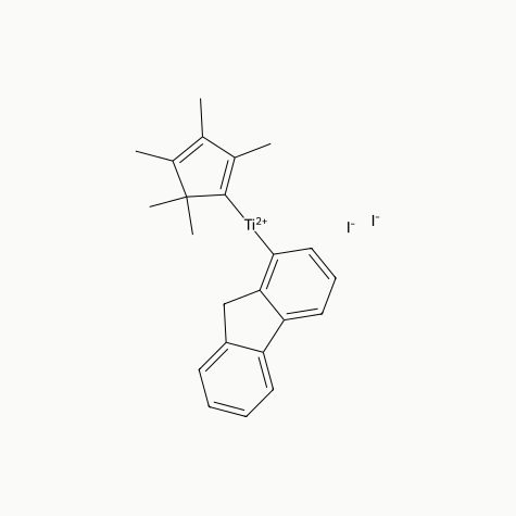 CC1=C(C)C(C)(C)[C]([Ti+2][c]2cccc3c2Cc2ccccc2-3)=C1C.[I-].[I-]